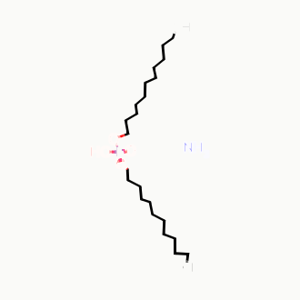 CCCCCCCCCCCCOP(=O)(O)OCCCCCCCCCCCC.N